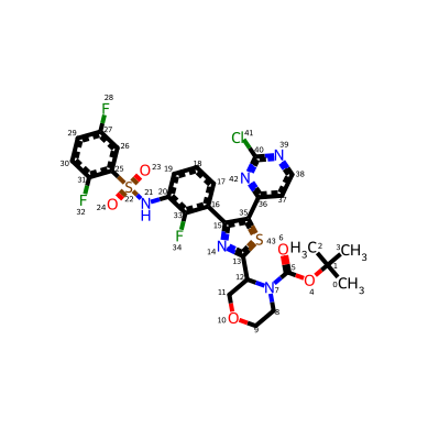 CC(C)(C)OC(=O)N1CCOCC1c1nc(-c2cccc(NS(=O)(=O)c3cc(F)ccc3F)c2F)c(-c2ccnc(Cl)n2)s1